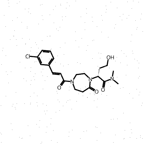 CN(C)C(=O)[C@@H](CCO)N1CCN(C(=O)/C=C/c2cccc(Cl)c2)CCC1=O